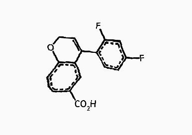 O=C(O)c1ccc2c(c1)C(c1ccc(F)cc1F)=CCO2